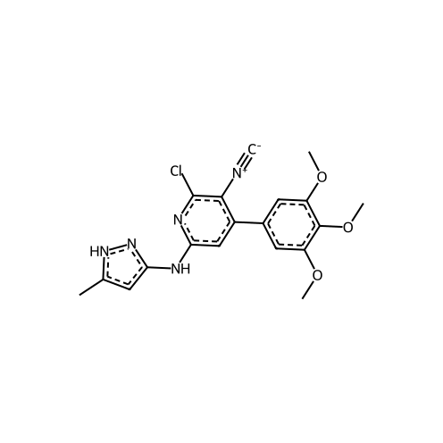 [C-]#[N+]c1c(-c2cc(OC)c(OC)c(OC)c2)cc(Nc2cc(C)[nH]n2)nc1Cl